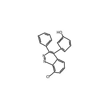 Oc1cccc(-c2c(-c3ccccc3)nnc3c(Cl)cccc23)c1